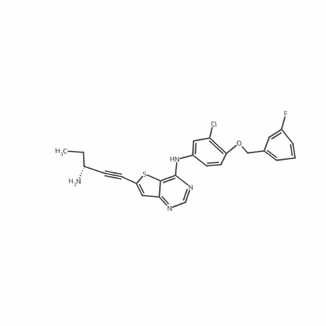 CC[C@@H](N)C#Cc1cc2ncnc(Nc3ccc(OCc4cccc(F)c4)c(Cl)c3)c2s1